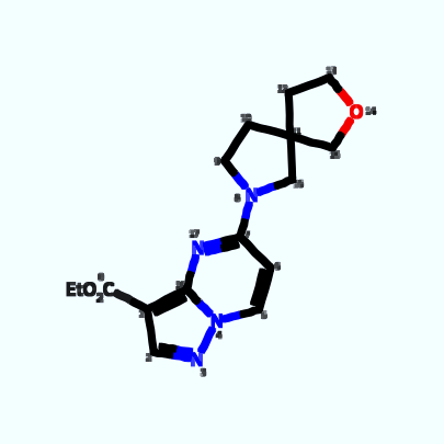 CCOC(=O)c1cnn2ccc(N3CCC4(CCOC4)C3)nc12